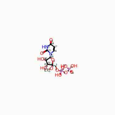 CCO[C@]1(COP(=O)(O)OP(=O)(O)O)O[C@@H](n2ccc(=O)[nH]c2=O)[C@H](O)[C@@H]1O